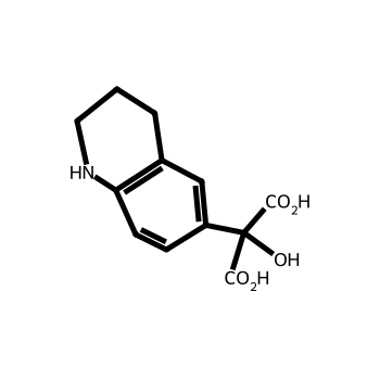 O=C(O)C(O)(C(=O)O)c1ccc2c(c1)CCCN2